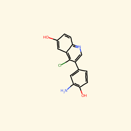 Nc1cc(-c2cnc3ccc(O)cc3c2Cl)ccc1O